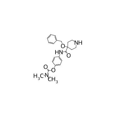 CN(C)C(=O)Oc1ccc(NC(=O)C2(OCc3ccccc3)CCNCC2)cc1